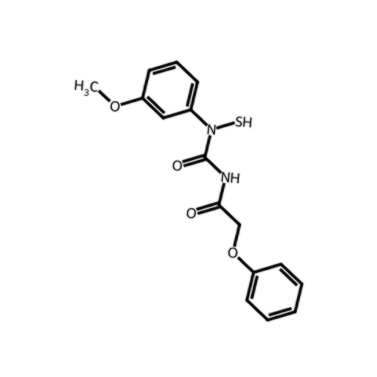 COc1cccc(N(S)C(=O)NC(=O)COc2ccccc2)c1